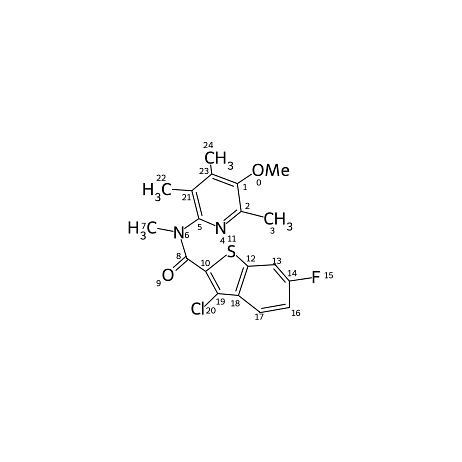 COc1c(C)nc(N(C)C(=O)c2sc3cc(F)ccc3c2Cl)c(C)c1C